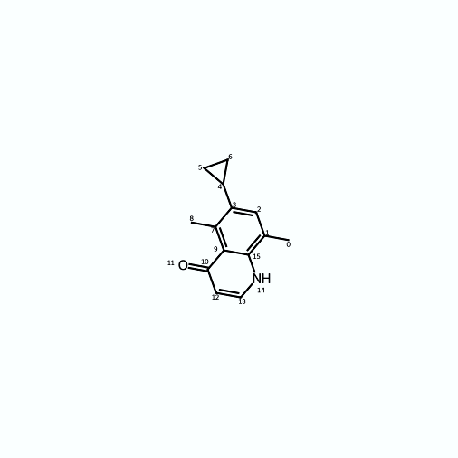 Cc1cc(C2CC2)c(C)c2c(=O)cc[nH]c12